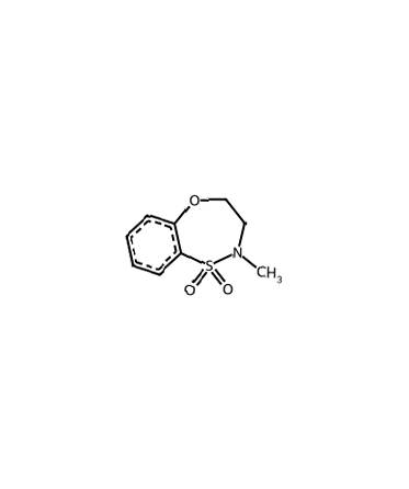 CN1CCOc2ccccc2S1(=O)=O